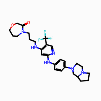 O=C1COCCCN1CCCNc1cc(Nc2ccc(N3CCN4CCCC4C3)cc2)ncc1C(F)(F)F